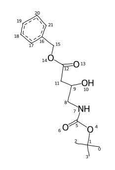 CC(C)(C)OC(=O)NCC(O)CC(=O)OCc1ccccc1